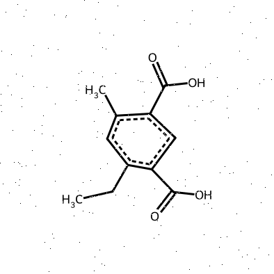 CCc1cc(C)c(C(=O)O)cc1C(=O)O